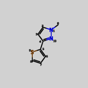 Cn1ccc(-c2cc[c]s2)n1